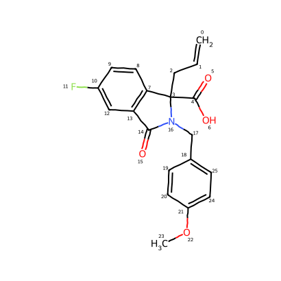 C=CCC1(C(=O)O)c2ccc(F)cc2C(=O)N1Cc1ccc(OC)cc1